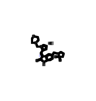 Cl.O=C1Nc2ccc(CN3CCCS3(=O)=O)cc2/C1=C\c1cccn1CN1CCOCC1